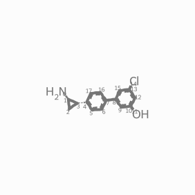 N[C@@H]1C[C@H]1c1ccc(-c2cc(O)cc(Cl)c2)cc1